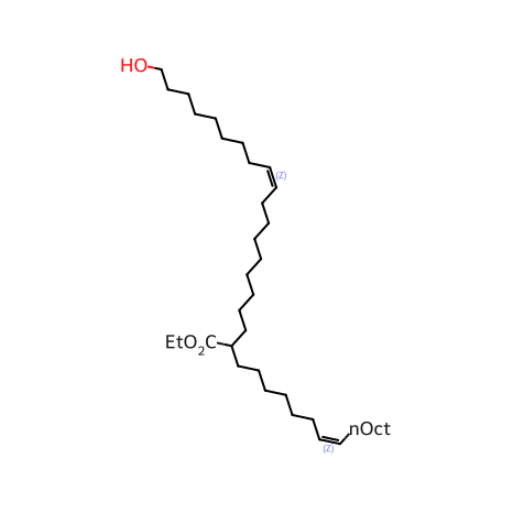 CCCCCCCC/C=C\CCCCCCC(CCCCCCCC/C=C\CCCCCCCCO)C(=O)OCC